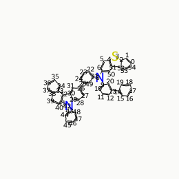 C1=CC2Sc3ccc(N(c4cccc(-c5ccccc5)c4)c4cccc(-c5ccc6c(c5)c5c7ccccc7ccc5n6-c5ccccc5)c4)cc3C2C=C1